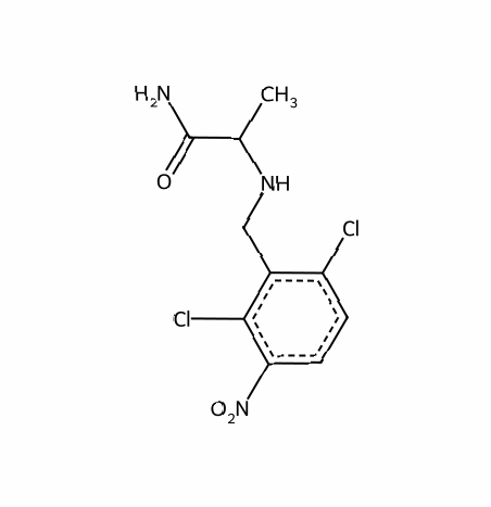 CC(NCc1c(Cl)ccc([N+](=O)[O-])c1Cl)C(N)=O